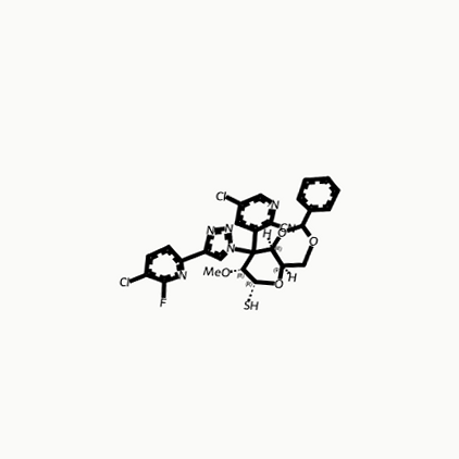 CO[C@H]1[C@@H](S)O[C@@H]2COC(c3ccccc3)O[C@@H]2C1(c1cc(Cl)cnc1C#N)n1cc(-c2ccc(Cl)c(F)n2)nn1